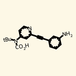 CC(C)(C)N(C(=O)O)c1ccnc(C#Cc2cccc(N)c2)c1